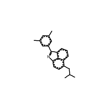 Cc1cc(C)cc(C2=Nc3ccc(CC(C)C)c4cccc2c34)c1